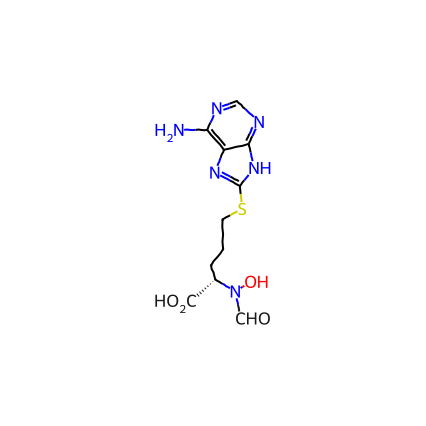 Nc1ncnc2[nH]c(SCCC[C@@H](C(=O)O)N(O)C=O)nc12